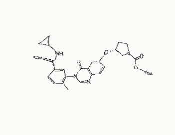 Cc1ccc(C(=O)NC2CC2)cc1-n1cnc2ccc(O[C@@H]3CCN(C(=O)OC(C)(C)C)C3)cc2c1=O